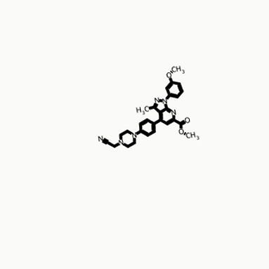 COC(=O)c1cc(-c2ccc(N3CCN(CC#N)CC3)cc2)c2c(C)nn(-c3cccc(OC)c3)c2n1